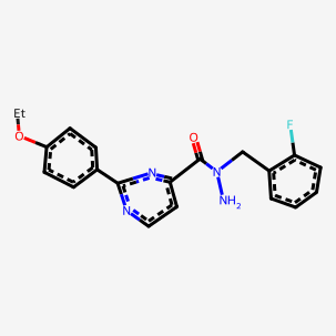 CCOc1ccc(-c2nccc(C(=O)N(N)Cc3ccccc3F)n2)cc1